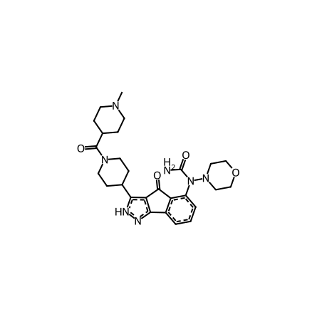 CN1CCC(C(=O)N2CCC(c3[nH]nc4c3C(=O)c3c-4cccc3N(C(N)=O)N3CCOCC3)CC2)CC1